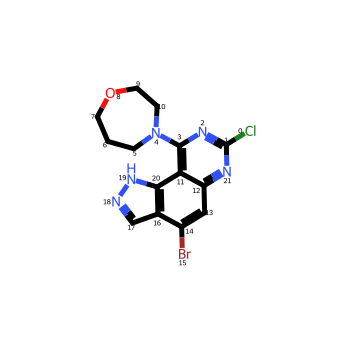 Clc1nc(N2CCCOCC2)c2c(cc(Br)c3cn[nH]c32)n1